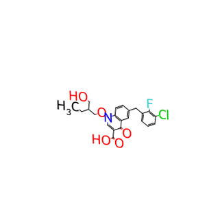 CCC(CO)COn1cc(C(=O)O)c(=O)c2cc(Cc3cccc(Cl)c3F)ccc21